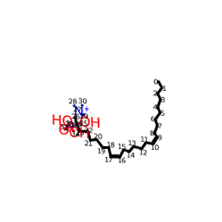 CCCCCCCCC/C=C\CCCCC/C=C\CCCCCCC(O)(C[N+](C)(C)C)P(=O)(O)O